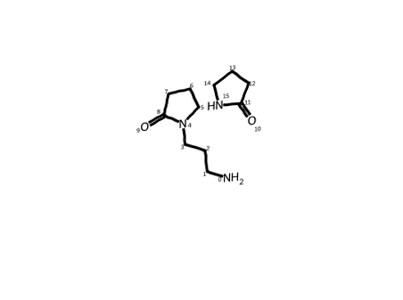 NCCCN1CCCC1=O.O=C1CCCN1